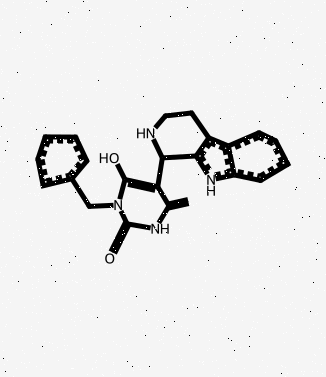 C=C1NC(=O)N(Cc2ccccc2)C(O)=C1C1NCCc2c1[nH]c1ccccc21